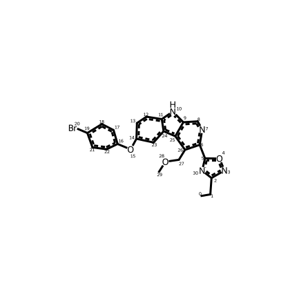 CCc1noc(-c2ncc3[nH]c4ccc(Oc5ccc(Br)cc5)cc4c3c2COC)n1